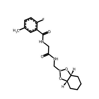 Cc1ccc(F)c(C(=O)NCC(=O)NCB2O[C@H]3CCCC[C@H]3O2)c1